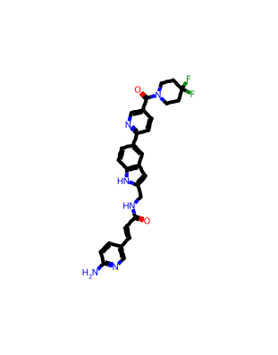 Nc1ccc(/C=C/C(=O)NCc2cc3cc(-c4ccc(C(=O)N5CCC(F)(F)CC5)cn4)ccc3[nH]2)cn1